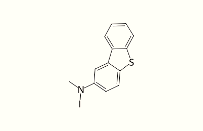 CN(I)c1ccc2sc3ccccc3c2c1